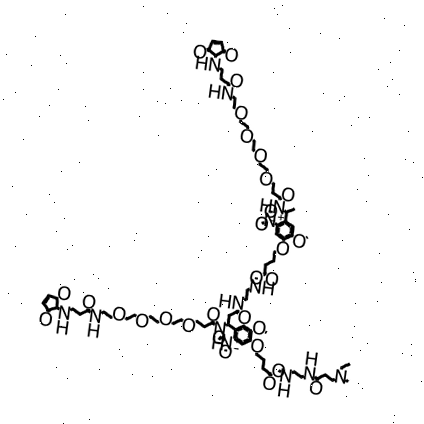 CCN(C)CCC(=O)NCCNOC(=O)CCCOc1cc([N+](=O)[O-])c(C(CC(=O)NCCNOC(=O)CCCOc2cc([N+](=O)[O-])c(C(C)NC(=O)CCOCCOCCOCCOCCNC(=O)CCNC3C(=O)C=CC3=O)cc2OC)NC(=O)CCOCCOCCOCCOCCNC(=O)CCNC2C(=O)C=CC2=O)cc1OC